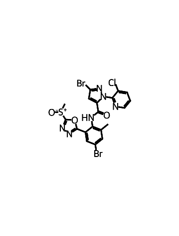 Cc1cc(Br)cc(-c2nnc([S+](C)[O-])o2)c1NC(=O)c1cc(Br)nn1-c1ncccc1Cl